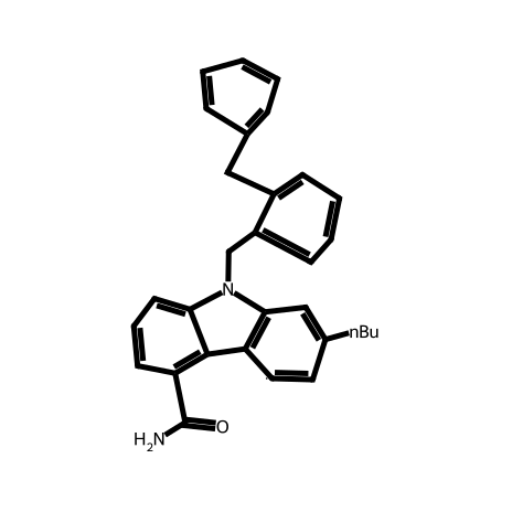 CCCCc1c[c]c2c3c(C(N)=O)cccc3n(Cc3ccccc3Cc3ccccc3)c2c1